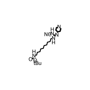 CC(C)(C)OC(=O)NCCCCCCCCCCNC(=Nc1ccncc1)NC#N